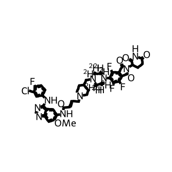 [2H]C1([2H])N(CC2CCN(C/C=C/C(=O)Nc3cc4c(Nc5ccc(F)c(Cl)c5)ncnc4cc3OC)CC2)C([2H])([2H])C([2H])([2H])N(c2c(F)c(F)c3c(c2F)C(=O)N(C2CCC(=O)NC2=O)C3=O)C1([2H])[2H]